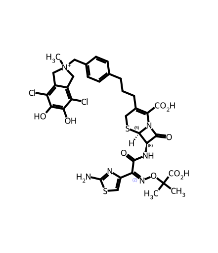 CC(C)(O/N=C(\C(=O)N[C@@H]1C(=O)N2C(C(=O)O)=C(CCCc3ccc(C[N+]4(C)Cc5c(Cl)c(O)c(O)c(Cl)c5C4)cc3)CS[C@H]12)c1csc(N)n1)C(=O)O